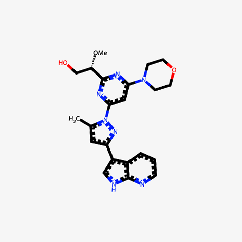 CO[C@@H](CO)c1nc(N2CCOCC2)cc(-n2nc(-c3c[nH]c4ncccc34)cc2C)n1